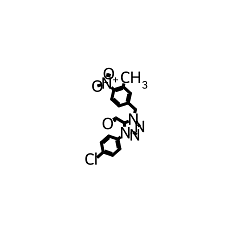 Cc1cc(CN2N=NN(c3ccc(Cl)cc3)C2C=O)ccc1[N+](=O)[O-]